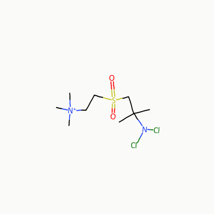 CC(C)(CS(=O)(=O)CC[N+](C)(C)C)N(Cl)Cl